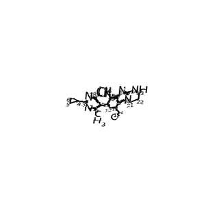 Cc1nc(C2CC2)nc(C)c1-c1cc(C=O)c2c(nc3n2CCCN3)c1Cl